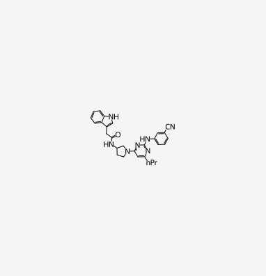 CCCc1cc(N2CCC(NC(=O)Cc3c[nH]c4ccccc34)C2)nc(Nc2cccc(C#N)c2)n1